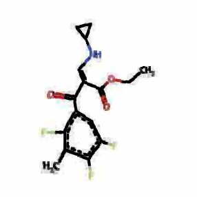 CCOC(=O)C(=CNC1CC1)C(=O)c1cc(F)c(F)c(C)c1F